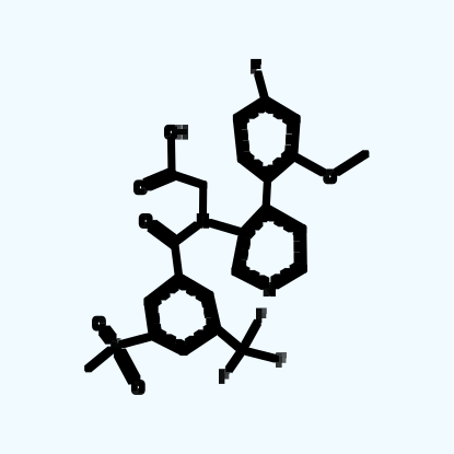 COc1cc(F)ccc1-c1ccncc1N(CC(=O)O)C(=O)c1cc(C(F)(F)F)cc(S(C)(=O)=O)c1